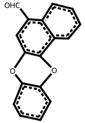 O=Cc1cc2c(c3ccccc13)Oc1ccccc1O2